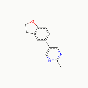 Cc1ncc(-c2ccc3c(c2)CCO3)cn1